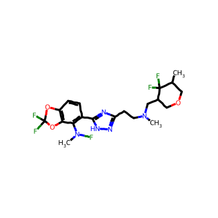 CC1COCC(CN(C)CCc2n[nH]c(-c3ccc4c(c3N(C)F)OC(F)(F)O4)n2)C1(F)F